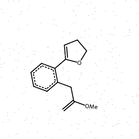 C=C(Cc1ccccc1C1=CCCO1)OC